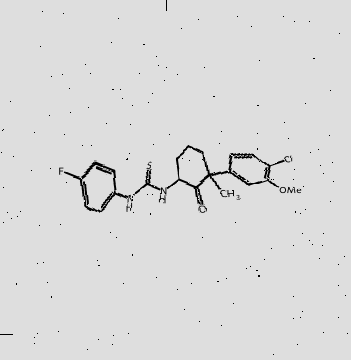 COc1cc(C2(C)CCCC(NC(=S)Nc3ccc(F)cc3)C2=O)ccc1Cl